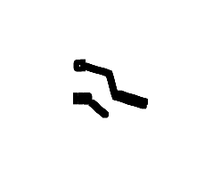 C=CCCl.CO